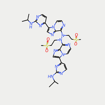 CC(C)Nc1nccc(-c2cnc3c(N(CCS(C)(=O)=O)N(CCS(C)(=O)=O)c4nccn5c(-c6ccnc(NC(C)C)n6)cnc45)nccn23)n1